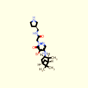 C[C@H]1[C@H]2C[C@H](C[C@H]1Nc1cnn(CC(=O)NC[C@H]3CCNC3)c(=O)c1Br)C2(C)C